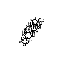 COC1(C)CC[C@H]2[C@@H]3CC[C@@H]4CC5(CC[C@]4(C=O)[C@H]3CC[C@@]21C)OCCO5